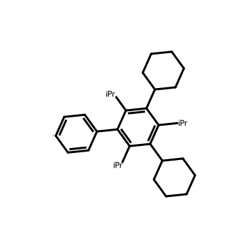 CC(C)c1c(-c2cc[c]cc2)c(C(C)C)c(C2CCCCC2)c(C(C)C)c1C1CCCCC1